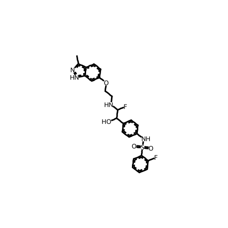 Cc1n[nH]c2cc(OCCNC(F)C(O)c3ccc(NS(=O)(=O)c4ccccc4F)cc3)ccc12